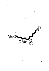 CCOCCCCCC(OCC)C(CCCCCOC)OC